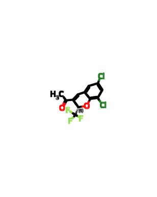 CC(=O)C1=Cc2cc(Cl)cc(Cl)c2O[C@@H]1C(F)(F)F